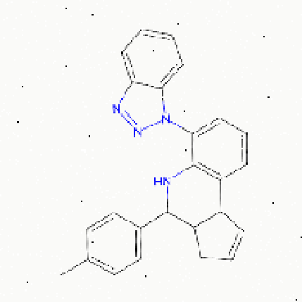 Cc1ccc(C2Nc3c(cccc3-n3nnc4ccccc43)C3C=CCC32)cc1